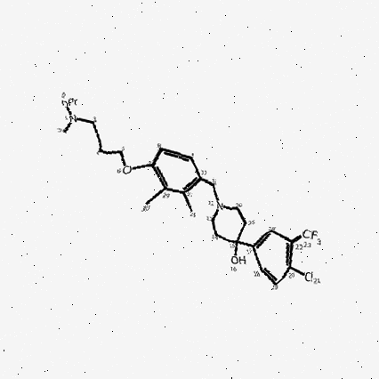 CCCN(C)CCCOc1ccc(CN2CCC(O)(c3ccc(Cl)c(C(F)(F)F)c3)CC2)c(C)c1C